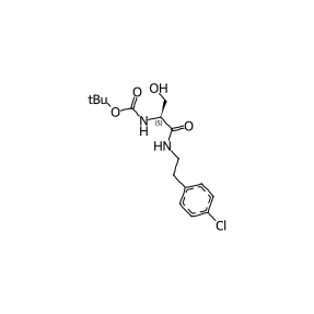 CC(C)(C)OC(=O)N[C@@H](CO)C(=O)NCCc1ccc(Cl)cc1